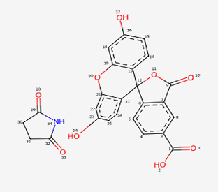 O=C(O)c1ccc2c(c1)C(=O)OC21c2ccc(O)cc2Oc2cc(O)ccc21.O=C1CCC(=O)N1